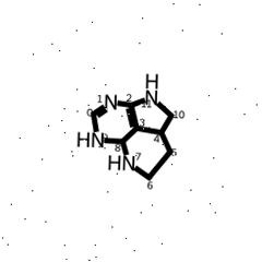 C1=NC2=C3C(CCNC3N1)CN2